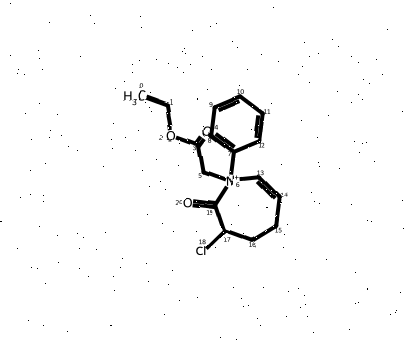 CCOC(=O)C[N+]1(c2ccccc2)C=CCCC(Cl)C1=O